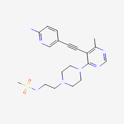 CCc1ncnc(N2CCN(CCNS(C)(=O)=O)CC2)c1C#Cc1ccc(N)nc1